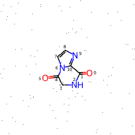 O=C1N[CH]C(=O)n2ccnc21